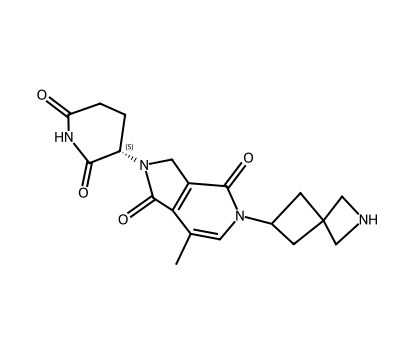 Cc1cn(C2CC3(CNC3)C2)c(=O)c2c1C(=O)N([C@H]1CCC(=O)NC1=O)C2